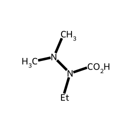 CCN(C(=O)O)N(C)C